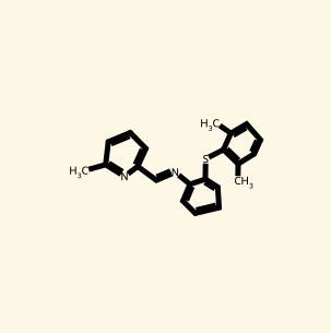 Cc1cccc(/C=N/c2ccccc2Sc2c(C)cccc2C)n1